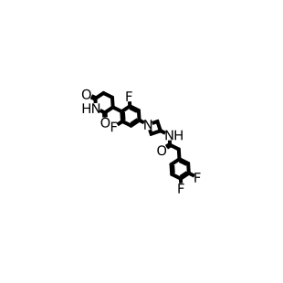 O=C1CCC(c2c(F)cc(N3CC(NC(=O)Cc4ccc(F)c(F)c4)C3)cc2F)C(=O)N1